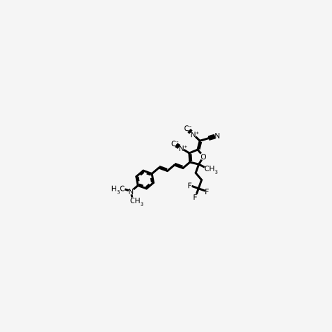 [C-]#[N+]C1=C(/C=C/C=C/c2ccc(N(C)C)cc2)C(C)(CCC(F)(F)F)O/C1=C(\C#N)[N+]#[C-]